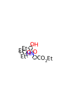 CCOC(=O)c1cccc(NC(=O)c2cc(O)cc(CC)c2Oc2ccc(C(C)(C)CC)cc2C(C)(C)CC)c1